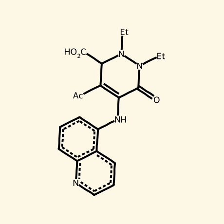 CCN1C(=O)C(Nc2cccc3ncccc23)=C(C(C)=O)C(C(=O)O)N1CC